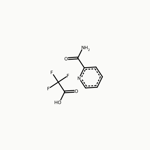 NC(=O)c1ccccn1.O=C(O)C(F)(F)F